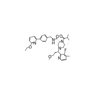 CCOc1cccc(-c2ccc(CNC(=O)[C@H]3CN([C@H](CCOC)c4nccc(C)c4F)C[C@@H](C)N3C(=O)C(C)C)cc2)n1